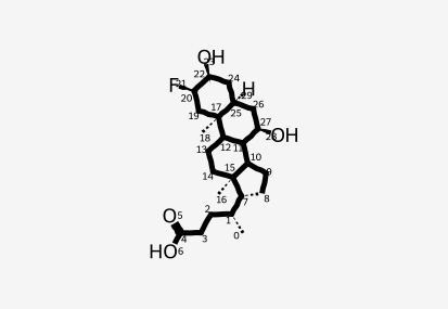 C[C@H](CCC(=O)O)[C@H]1CCC2C3C(CC[C@@]21C)[C@@]1(C)C[C@@H](F)[C@@H](O)C[C@H]1C[C@H]3O